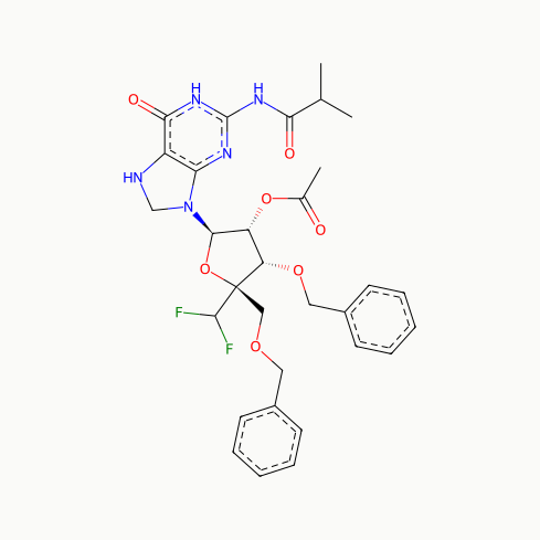 CC(=O)O[C@H]1[C@H](N2CNc3c2nc(NC(=O)C(C)C)[nH]c3=O)O[C@@](COCc2ccccc2)(C(F)F)[C@H]1OCc1ccccc1